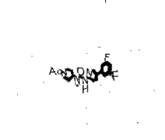 CC(=O)N1CCC(N(C)C(=O)Nc2ccc(-c3cc(F)cc(F)c3)cn2)CC1